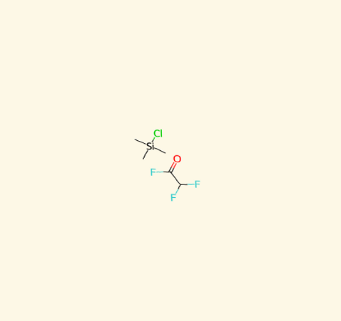 C[Si](C)(C)Cl.O=C(F)C(F)F